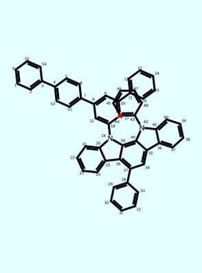 c1ccc(-c2ccc(-c3cc(-c4ccccc4)nc(-n4c5ccccc5c5c(-c6ccccc6)cc6c7ccccc7n(-c7ccccc7)c6c54)c3)cc2)cc1